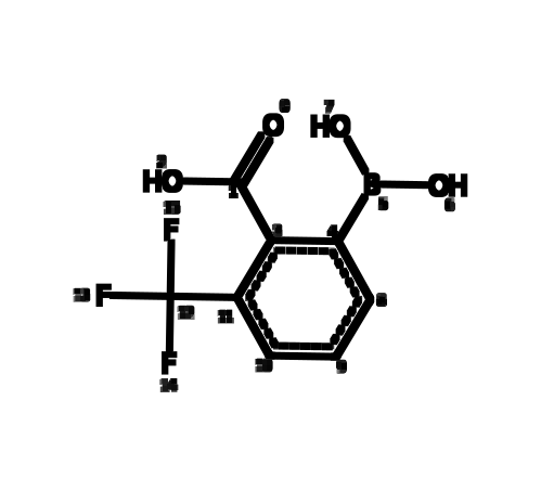 O=C(O)c1c(B(O)O)cccc1C(F)(F)F